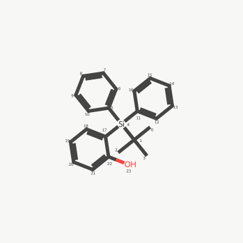 CC(C)(C)[Si](c1ccccc1)(c1ccccc1)c1ccccc1O